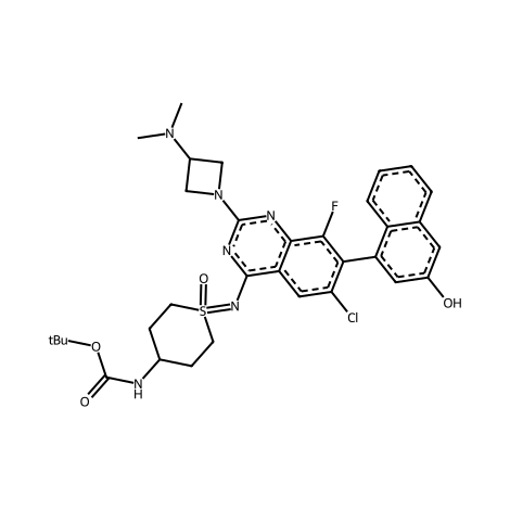 CN(C)C1CN(c2nc(N=S3(=O)CCC(NC(=O)OC(C)(C)C)CC3)c3cc(Cl)c(-c4cc(O)cc5ccccc45)c(F)c3n2)C1